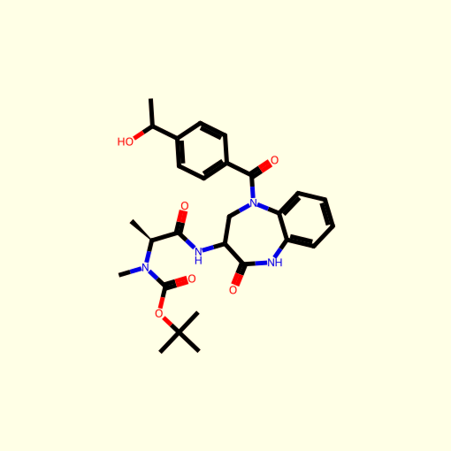 CC(O)c1ccc(C(=O)N2CC(NC(=O)[C@H](C)N(C)C(=O)OC(C)(C)C)C(=O)Nc3ccccc32)cc1